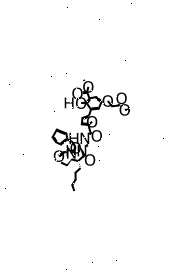 CCCCC[C@@H](C(=O)NCNC(=O)c1ccc(-c2cc(OCC(=O)OC)cc(C(=O)OC)c2O)o1)[C@@H](CC)N(C=O)OCc1ccccc1